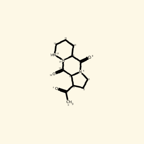 CC(=O)C1CCN2C(=O)C3CCCNN3C(=O)C12